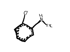 [CH2]CNc1ccccc1Cl